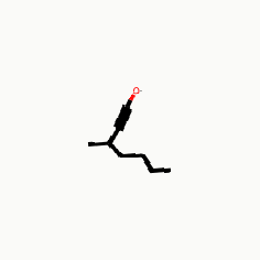 CCCCC(C)C#C[O]